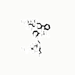 Cc1c(OCCN(CCCF)C(=O)OC(C)(C)C)ncc(F)c1[C@@H]1c2[nH]c3ccccc3c2C[C@@H](C)N1CC(C)C(=O)O